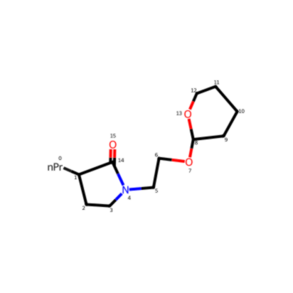 CCCC1CCN(CCOC2CCCCO2)C1=O